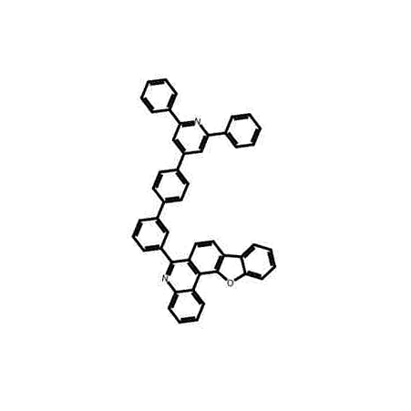 c1ccc(-c2cc(-c3ccc(-c4cccc(-c5nc6ccccc6c6c5ccc5c7ccccc7oc56)c4)cc3)cc(-c3ccccc3)n2)cc1